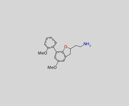 COc1cc2c(c(-c3ccccc3OC)c1)OC(CCN)C2